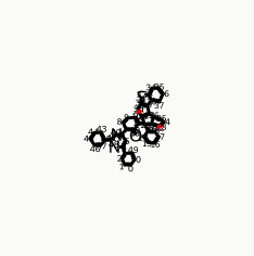 c1ccc(-c2cc(-c3cccc4c3Oc3ccccc3C43c4ccccc4-c4c3ccc3sc5ccccc5c43)nc(-c3ccccc3)n2)cc1